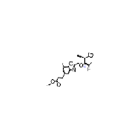 C#CC(/C(OCc1nc2cc(CCC(=O)OCC)cc(C)c2o1)=C(\C)F)C1CCC1